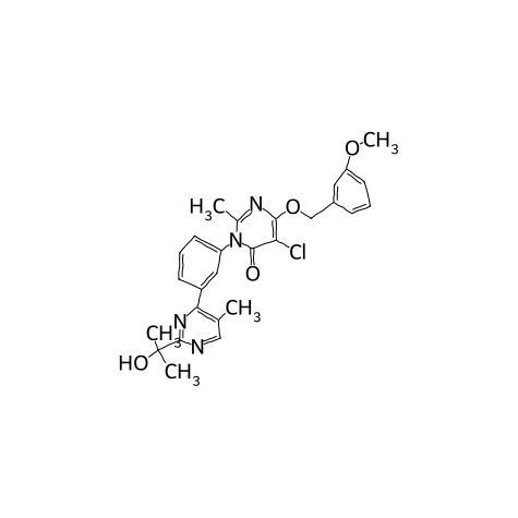 COc1cccc(COc2nc(C)n(-c3cccc(-c4nc(C(C)(C)O)ncc4C)c3)c(=O)c2Cl)c1